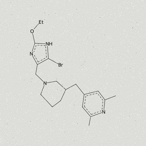 CCOc1nc(CN2CCCC(Cc3cc(C)nc(C)c3)C2)c(Br)[nH]1